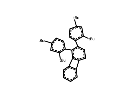 CC(C)(C)c1ccc(-c2ccc3c(c2-c2ccc(C(C)(C)C)cc2C(C)(C)C)-c2ccccc2-3)c(C(C)(C)C)c1